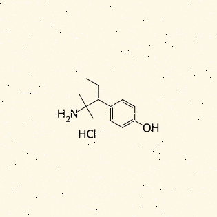 CCC(c1ccc(O)cc1)C(C)(C)N.Cl